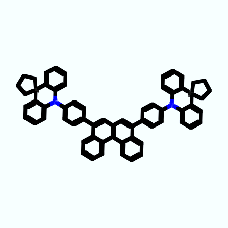 c1ccc2c(c1)N(c1ccc(-c3cc4cc(-c5ccc(N6c7ccccc7[Si]7(CCCC7)c7ccccc76)cc5)c5ccccc5c4c4ccccc34)cc1)c1ccccc1[Si]21CCCC1